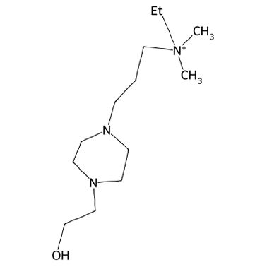 CC[N+](C)(C)CCCN1CCN(CCO)CC1